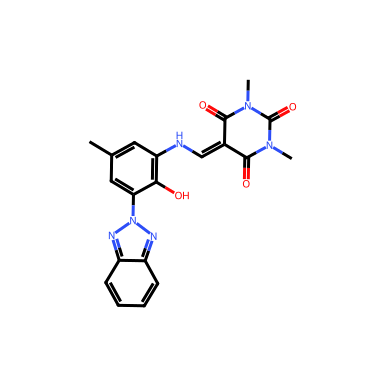 Cc1cc(NC=C2C(=O)N(C)C(=O)N(C)C2=O)c(O)c(-n2nc3ccccc3n2)c1